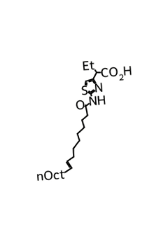 CCCCCCCC/C=C/CCCCCCCC(=O)Nc1nc(C(CC)C(=O)O)cs1